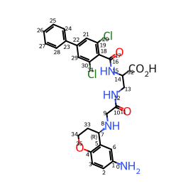 Nc1ccc2c(c1)[C@H](NCC(=O)NCC(NC(=O)c1c(Cl)cc(-c3ccccc3)cc1Cl)C(=O)O)CCO2